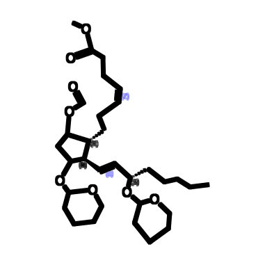 CCCCC[C@@H](/C=C/[C@H]1C(OC2CCCCO2)CC(OC=O)[C@@H]1CC/C=C\CCC(=O)OC)OC1CCCCO1